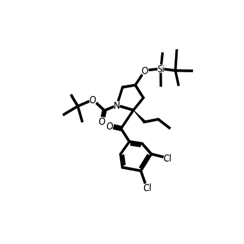 CCC[C@]1(C(=O)c2ccc(Cl)c(Cl)c2)CC(O[Si](C)(C)C(C)(C)C)CN1C(=O)OC(C)(C)C